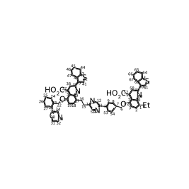 CCc1ccc(OCc2ccc(-c3cnc(CCc4ccc(OCc5ccccc5-c5cccnc5)c5c(C(=O)O)cc(-c6csc7ccccc67)nc45)cn3)cc2)c2c(C(=O)O)cc(-c3csc4ccccc34)nc12